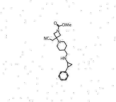 COC(=O)N1CC(CC#N)(N2CCC(CNC3CC3c3ccccc3)CC2)C1